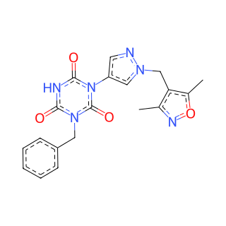 Cc1noc(C)c1Cn1cc(-n2c(=O)[nH]c(=O)n(Cc3ccccc3)c2=O)cn1